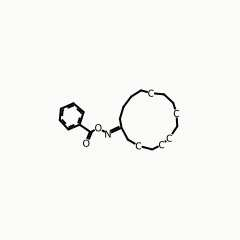 O=C(ON=C1CCCCCCCCCCCCCC1)c1ccccc1